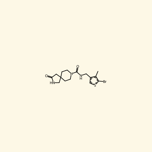 Cc1c(CNC(=O)N2CCC3(CC2)CNC(=O)C3)csc1Br